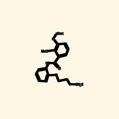 CCCCCOc1cccc(C(=O)Nc2ccccc2OCCCC(=O)O)c1OC